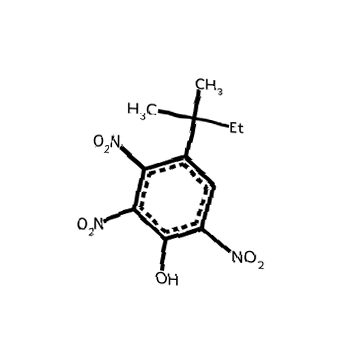 CCC(C)(C)c1cc([N+](=O)[O-])c(O)c([N+](=O)[O-])c1[N+](=O)[O-]